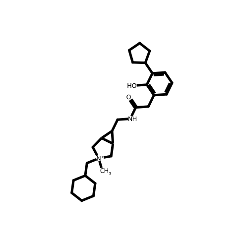 C[N+]1(CC2CCCCC2)CC2C(CNC(=O)Cc3cccc(C4CCCC4)c3O)C2C1